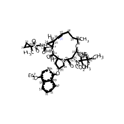 CCOc1cnc(O[C@@H]2C[C@H]3C(=O)N[C@]4(C(=O)NS(=O)(=O)C5(C)CC5)C[C@H]4/C=C\CC[C@H](C)C[C@@H](C)[C@H](N(C(=O)O)C(C)(C)C(C)(F)F)C(=O)N3C2)c2ccccc12